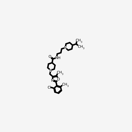 Cc1cccc(Cl)c1-c1nc(CN2CCC(C(=O)NCCCN3CCC(C(C)C)CC3)CC2)c(C)o1